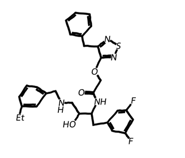 CCc1cccc(CNCC(O)C(Cc2cc(F)cc(F)c2)NC(=O)COc2nsnc2Cc2ccccc2)c1